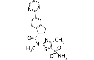 Cc1nc(N(C)C(=O)[C@H]2CCc3cc(-c4ccccn4)ccc32)sc1S(N)(=O)=O